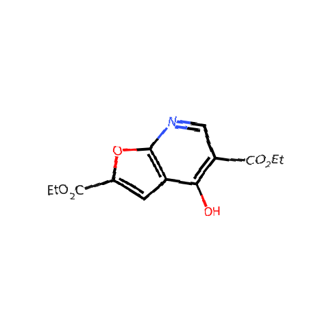 CCOC(=O)c1cc2c(O)c(C(=O)OCC)cnc2o1